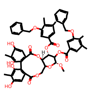 CO[C@@H]1OC2COC(=O)c3cc(O)c(C)c(O)c3-c3c(cc(O)c(C)c3O)C(=O)O[C@H]2[C@H](OC(=O)c2cc(C)c(C)c(OCc3ccccc3)c2)C1OC(=O)c1cc(C)c(C)c(OCc2ccccc2)c1